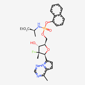 CCOC(=O)[C@H](C)NP(=O)(OC[C@H]1O[C@@H](c2ccc3c(C)ncnn23)[C@](C)(F)[C@@H]1O)Oc1cccc2ccccc12